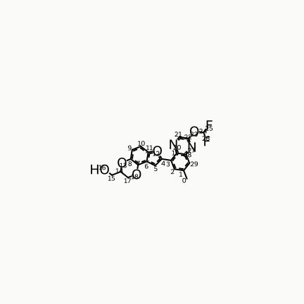 Cc1cc(-c2cc3c4c(ccc3o2)OC(CO)CO4)c2ncc(OC(F)F)nc2c1